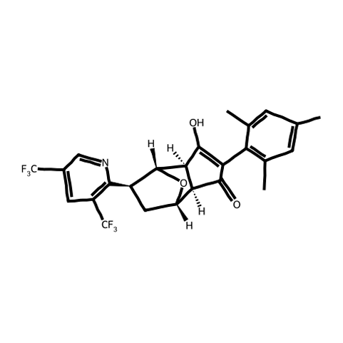 Cc1cc(C)c(C2=C(O)[C@@H]3[C@@H]4O[C@@H](C[C@H]4c4ncc(C(F)(F)F)cc4C(F)(F)F)[C@@H]3C2=O)c(C)c1